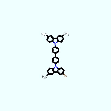 Cc1ccc2c(c1)c1cc(C)ccc1n2-c1ccc(-c2ccc(-n3c4ccc(C)cc4c4cc(Br)ccc43)cc2)cc1